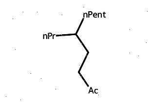 CCCCCC(CCC)CCC(C)=O